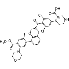 COC(=O)c1cc(F)c(-c2cccc3c2OCN(C(=O)c2c(Cl)cc(N4CCNC[C@@H]4C(=O)O)cc2Cl)C3)cc1N1CCOCC1